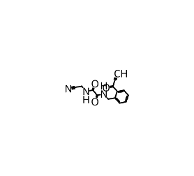 C#CC(=O)c1ccccc1CNC(=O)C(=O)NCC#N